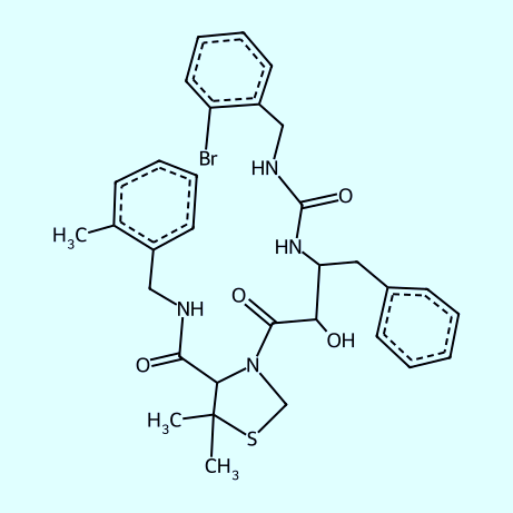 Cc1ccccc1CNC(=O)C1N(C(=O)C(O)C(Cc2ccccc2)NC(=O)NCc2ccccc2Br)CSC1(C)C